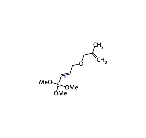 C=C(C)COC/C=C/[Si](OC)(OC)OC